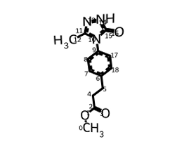 COC(=O)CCc1ccc(-n2c(C)n[nH]c2=O)cc1